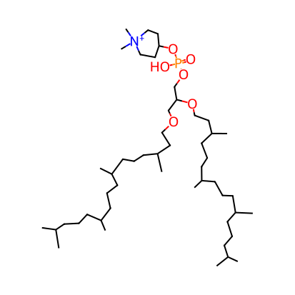 CC(C)CCCC(C)CCCC(C)CCCC(C)CCOCC(COP(=O)(O)OC1CC[N+](C)(C)CC1)OCCC(C)CCCC(C)CCCC(C)CCCC(C)C